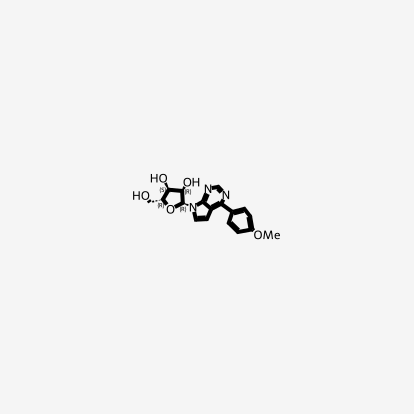 COc1ccc(-c2ncnc3c2ccn3[C@@H]2O[C@H](CO)[C@@H](O)[C@H]2O)cc1